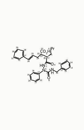 CC(C)C[C@@H](C(=O)NN(C(=O)NCc1ccccc1)c1ccccc1)[C@H](CC=Cc1ccccc1)C(=O)O